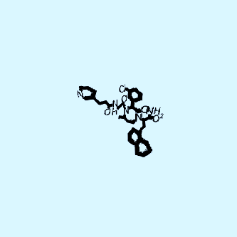 CC1CCN(C(Cc2cccc3ccccc23)C(N)=O)C(=O)C(c2cccc(Cl)c2)N1C(=O)CNC(=O)CCc1cccnc1